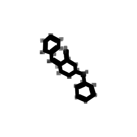 O=C1CC(Oc2ccccc2)CCC1=Cc1ccccc1